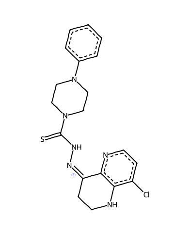 S=C(N/N=C1/CCNc2c(Cl)ccnc21)N1CCN(c2ccccc2)CC1